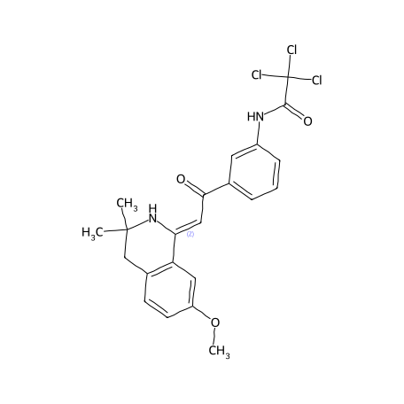 COc1ccc2c(c1)/C(=C/C(=O)c1cccc(NC(=O)C(Cl)(Cl)Cl)c1)NC(C)(C)C2